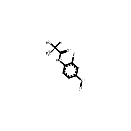 CCSc1ccc(NC(=O)[C@@](C)(O)C(F)(F)F)c(F)c1